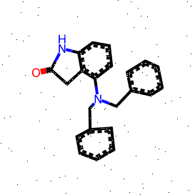 O=C1Cc2c(cccc2N(Cc2ccccc2)Cc2ccccc2)N1